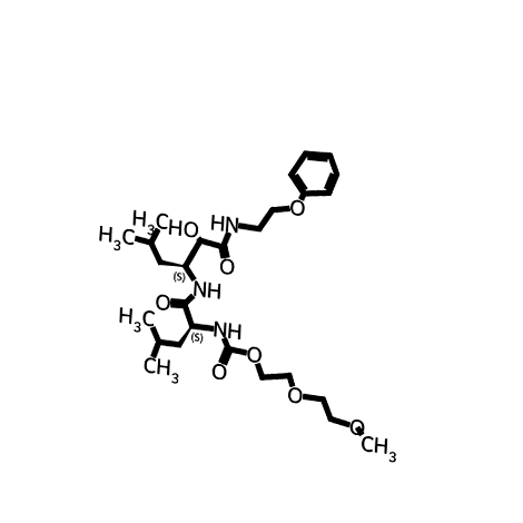 COCCOCCOC(=O)N[C@@H](CC(C)C)C(=O)N[C@@H](CC(C)C)C(O)C(=O)NCCOc1ccccc1